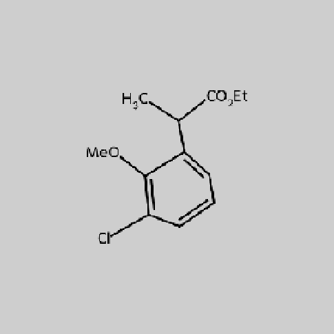 CCOC(=O)C(C)c1cccc(Cl)c1OC